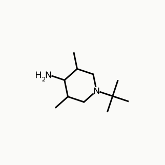 CC1CN(C(C)(C)C)CC(C)C1N